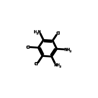 Nc1c(N)c(Cl)c(Cl)c(N)c1Cl